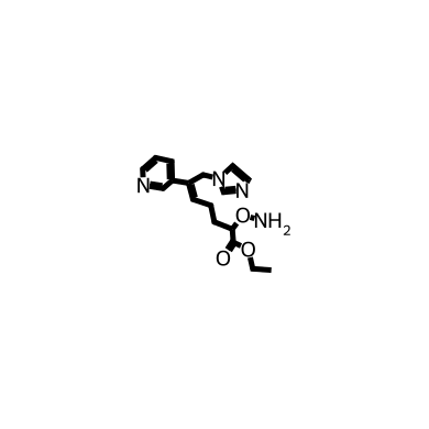 CCOC(=O)C(CCC=C(Cn1ccnc1)c1cccnc1)ON